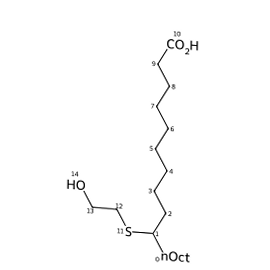 CCCCCCCCC(CCCCCCCCC(=O)O)SCCO